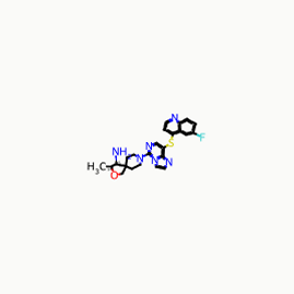 C[C@@H]1OCC2(CCN(c3ncc(Sc4ccnc5ccc(F)cc45)c4nccn34)CC2)[C@@H]1N